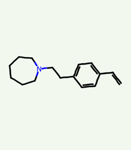 C=Cc1ccc(CCN2CCCCCC2)cc1